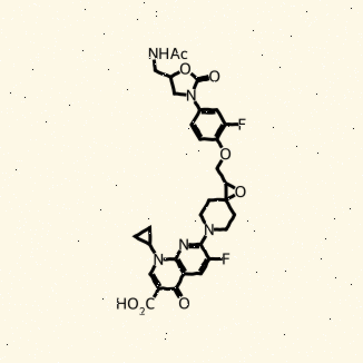 CC(=O)NCC1CN(c2ccc(OCC3OC34CCN(c3nc5c(cc3F)c(=O)c(C(=O)O)cn5C3CC3)CC4)c(F)c2)C(=O)O1